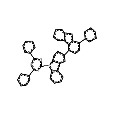 c1ccc(-c2nc(-c3ccccc3)nc(-n3c4ccccc4c4cc(-c5ccc(-c6ccccc6)c6oc7ccccc7c56)ccc43)n2)cc1